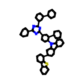 c1ccc(-c2cccc(-c3nc(-c4ccccc4)nc(-c4ccc(-n5c6ccccc6c6ccc(-c7cccc8c7sc7ccccc78)cc65)c(-c5ccccc5)c4)n3)c2)cc1